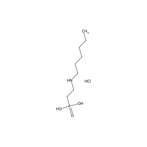 CCCCCCNCCP(=O)(O)O.Cl